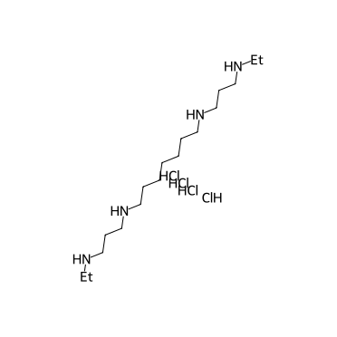 CCNCCCNCCCCCCCNCCCNCC.Cl.Cl.Cl.Cl